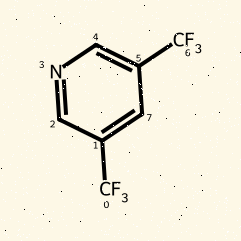 FC(F)(F)c1cncc(C(F)(F)F)c1